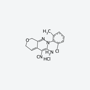 Cc1cccc(Cl)c1N1N=C2COCC=C2C(C#N)=C1N.Cl